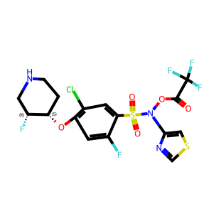 O=C(ON(c1cscn1)S(=O)(=O)c1cc(Cl)c(O[C@H]2CCNC[C@H]2F)cc1F)C(F)(F)F